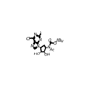 CC(=O)N(C(=O)OC(C)(C)C)[C@H]1C[C@@H](n2cnc3c(Cl)nc(I)nc32)[C@H](O)[C@@H]1O